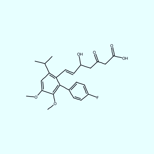 COc1cc(C(C)C)c(C=CC(O)CC(=O)CC(=O)O)c(-c2ccc(F)cc2)c1OC